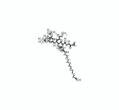 C#CCOCCOCCOCCOCCNC(=O)CO[C@@H]([C@@H]1OC(C(=O)OC)=C[C@H](N/C(=N/C(=O)OC(C)(C)C)NC(=O)OC(C)(C)C)[C@H]1NC(C)=O)[C@H](O)CNC(=O)C1CC1